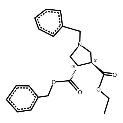 CCOC(=O)[C@@H]1CN(Cc2ccccc2)C[C@H]1C(=O)OCc1ccccc1